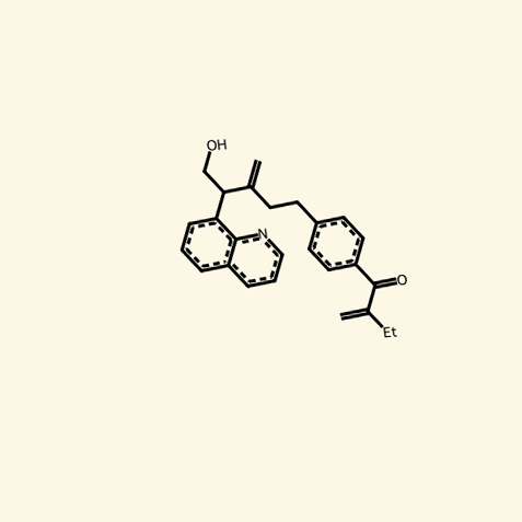 C=C(CC)C(=O)c1ccc(CCC(=C)C(CO)c2cccc3cccnc23)cc1